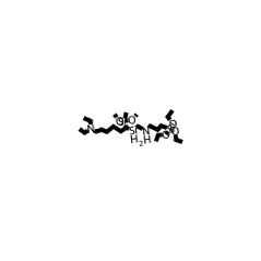 CCO[Si](CCCNC[SiH2]C(CCCCCN(CC)CC)[Si](C)(OC)OC)(OCC)OCC